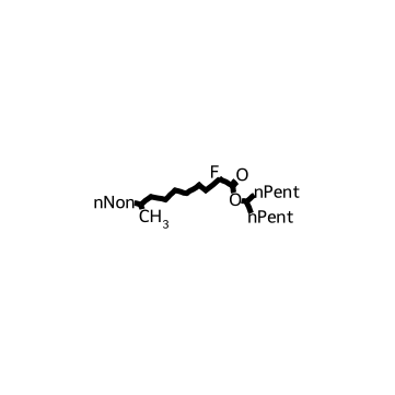 CCCCCCCCCC(C)CCCCCCC(F)C(=O)OC(CCCCC)CCCCC